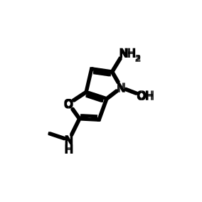 CNc1cc2c(cc(N)n2O)o1